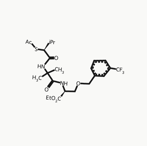 CCOC(=O)[C@H](COCc1cccc(C(F)(F)F)c1)NC(=O)C(C)(C)NC(=O)[C@@H](SC(C)=O)C(C)C